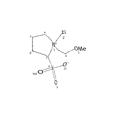 CC[N+]1(COC)CCCC1S(=O)(=O)[O-]